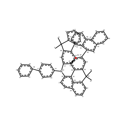 CC1(C)c2ccccc2-c2ccc(N(c3ccc(-c4ccccc4)cc3)c3ccc4cccc5c4c3-c3ccc(-c4cc6ccccc6c6ccccc46)cc3C5(C)C)cc21